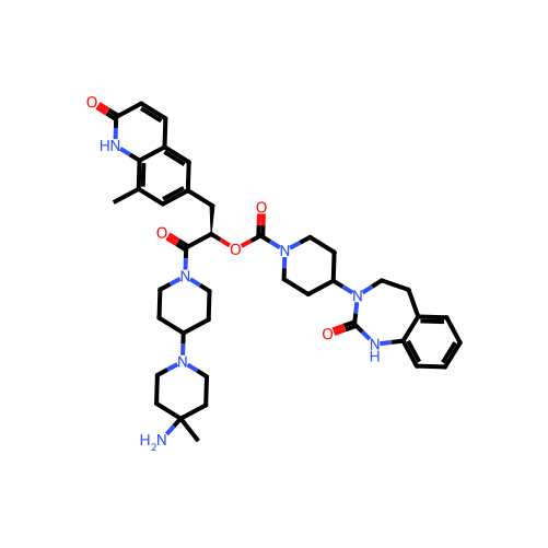 Cc1cc(C[C@@H](OC(=O)N2CCC(N3CCc4ccccc4NC3=O)CC2)C(=O)N2CCC(N3CCC(C)(N)CC3)CC2)cc2ccc(=O)[nH]c12